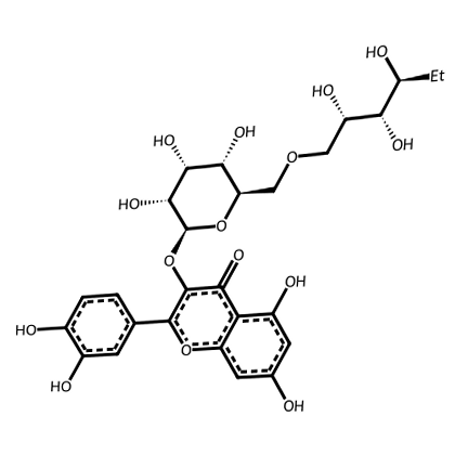 CC[C@H](O)[C@H](O)[C@@H](O)COC[C@H]1O[C@@H](Oc2c(-c3ccc(O)c(O)c3)oc3cc(O)cc(O)c3c2=O)[C@H](O)[C@H](O)[C@@H]1O